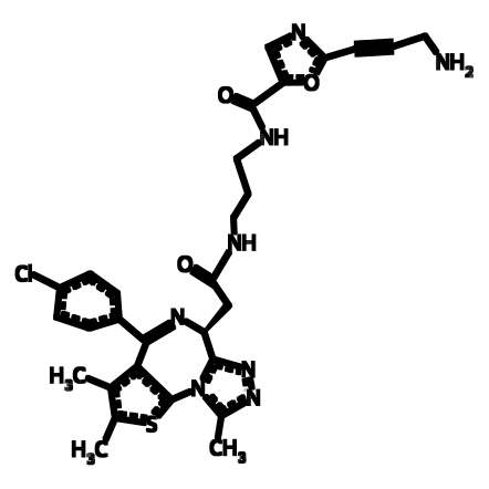 Cc1sc2c(c1C)C(c1ccc(Cl)cc1)=N[C@@H](CC(=O)NCCCNC(=O)c1cnc(C#CCN)o1)c1nnc(C)n1-2